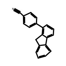 N#Cc1ccc(-c2cccc3c2Cc2ccccc2-3)cc1